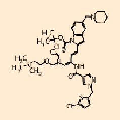 CC(C)(C)OC(=O)n1c(/C=C/C(=C\N(C=O)COCC[Si](C)(C)C)NC(=O)c2cnn(Cc3ccc(Cl)s3)c2)cc2cc(CN3CCCCC3)ccc21